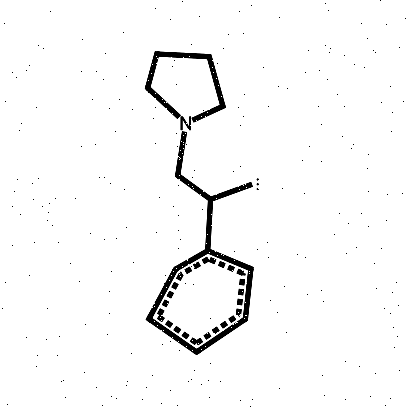 [C]C(CN1CCCC1)c1ccccc1